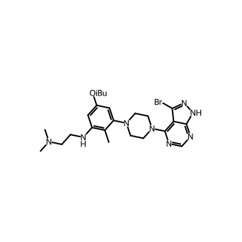 Cc1c(NCCN(C)C)cc(OCC(C)C)cc1N1CCN(c2ncnc3[nH]nc(Br)c23)CC1